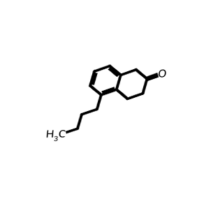 CCCCc1cccc2c1CCC(=O)C2